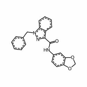 O=C(Nc1ccc2c(c1)OCO2)c1nn(Cc2ccccc2)c2ccccc12